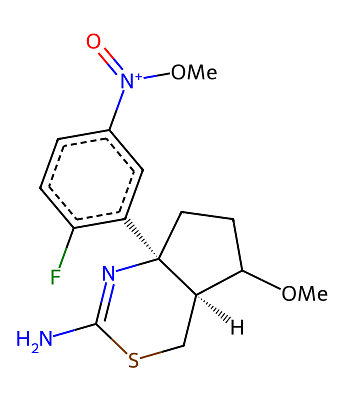 COC1CC[C@]2(c3cc([N+](=O)OC)ccc3F)N=C(N)SC[C@H]12